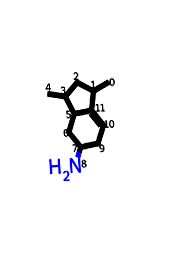 CC1CC(C)C2CC(N)CC=C12